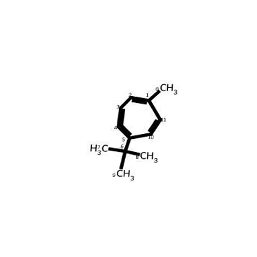 CC1=CC=C=C(C(C)(C)C)C=C1